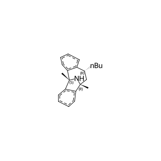 CCCC[C@@H]1C[C@@]2(C)N[C@@](C)(c3ccccc31)c1ccccc12